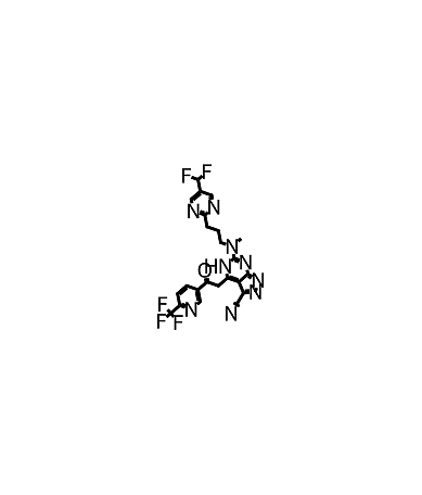 CN(CCCc1ncc(C(F)F)cn1)c1nc2nnc(C#N)c-2c(CC(=O)c2ccc(C(F)(F)F)nc2)[nH]1